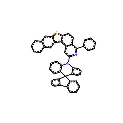 c1ccc(-c2nc(N3c4ccccc4C4(c5ccccc5-c5ccccc54)c4ccccc43)cc3c2ccc2sc4cc5ccccc5cc4c23)cc1